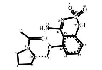 CC(=O)N1CCC[C@H]1COc1cccc2c1C(N)=NS(=O)(=O)N2